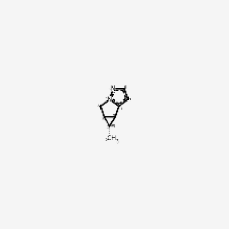 C[C@@H]1C2Cn3nccc3C21